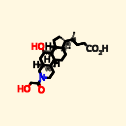 C[C@H](CCC(=O)O)[C@H]1CC[C@H]2[C@@H]3[C@@H](O)C[C@@H]4CN(C(=O)CO)CC[C@]4(C)[C@H]3CC[C@]12C